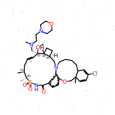 CO[C@]1(CN(C)CCN2CCOCC2)/C=C/C[C@H](C)[C@@H](C)S(=O)(=O)NC(=O)c2ccc3c(c2)N(CCCCC2C=C(Cl)C=CC2(C)CO3)C[C@@H]2CC[C@H]21